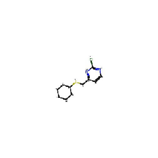 Clc1nccc(CSC2CCCCC2)n1